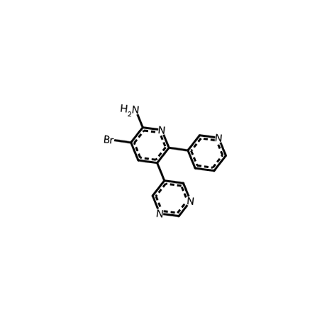 Nc1nc(-c2cccnc2)c(-c2cncnc2)cc1Br